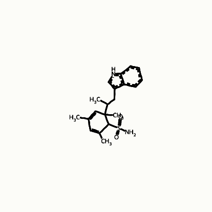 CC1=CC(C)(C(C)Cc2c[nH]c3ccccc23)C(S(N)(=O)=O)C(C)=C1